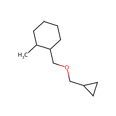 CC1C[CH]CCC1COCC1CC1